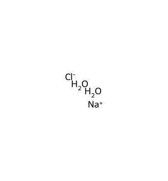 O.O.[Cl-].[Na+]